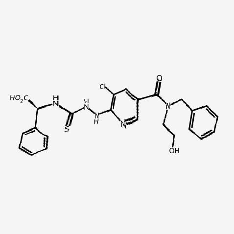 O=C(O)[C@@H](NC(=S)NNc1ncc(C(=O)N(CCO)Cc2ccccc2)cc1Cl)c1ccccc1